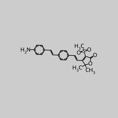 CC1(C)OC(=O)C(S(C)(=O)=O)=C1/C=C/c1ccc(/C=C/c2ccc(N)cc2)cc1